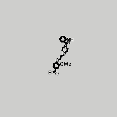 CCC(=O)c1ccc(OCCCN2CCN(c3n[nH]c4ccccc34)CC2)c(OC)c1